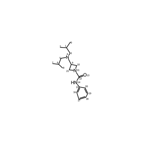 CC(C)CN(CC(C)C)C1CN(C(=O)Nc2ccccc2)C1